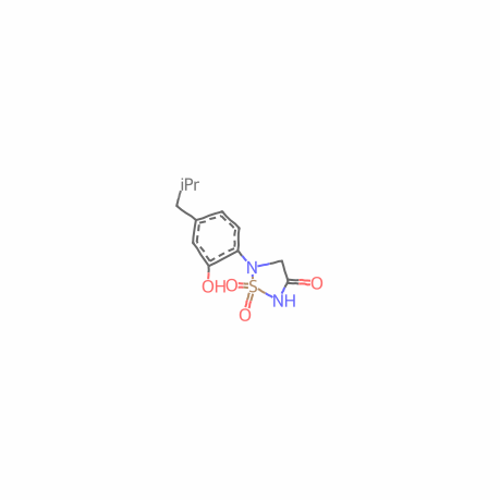 CC(C)Cc1ccc(N2CC(=O)NS2(=O)=O)c(O)c1